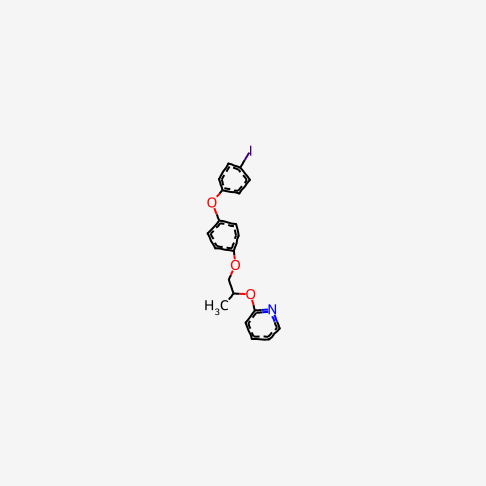 CC(COc1ccc(Oc2ccc(I)cc2)cc1)Oc1ccccn1